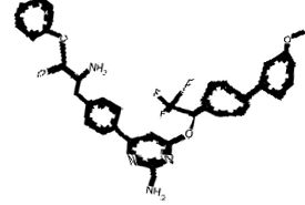 COc1cccc(-c2ccc([C@@H](Oc3cc(-c4ccc(CC(N)C(=O)Oc5ccccc5)cc4)nc(N)n3)C(F)(F)F)cc2)c1